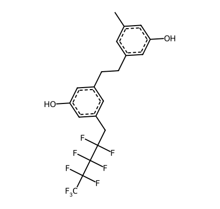 Cc1cc(O)cc(CCc2cc(O)cc(CC(F)(F)C(F)(F)C(F)(F)C(F)(F)F)c2)c1